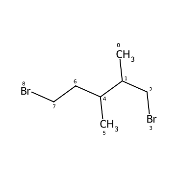 CC(CBr)C(C)CCBr